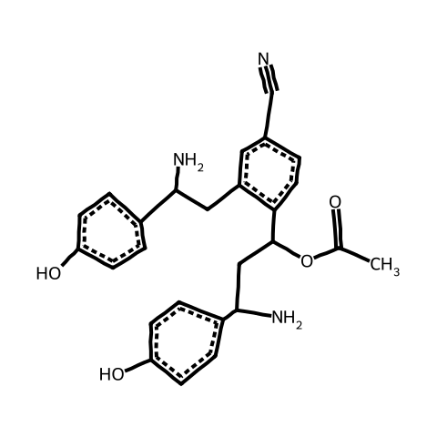 CC(=O)OC(CC(N)c1ccc(O)cc1)c1ccc(C#N)cc1CC(N)c1ccc(O)cc1